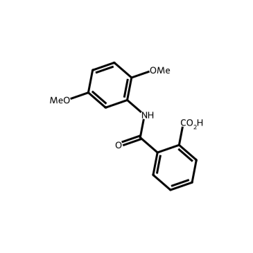 COc1ccc(OC)c(NC(=O)c2ccccc2C(=O)O)c1